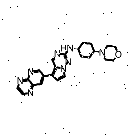 c1cnc2ncc(-c3ccn4nc(N[C@H]5CC[C@H](N6CCOCC6)CC5)ncc34)cc2n1